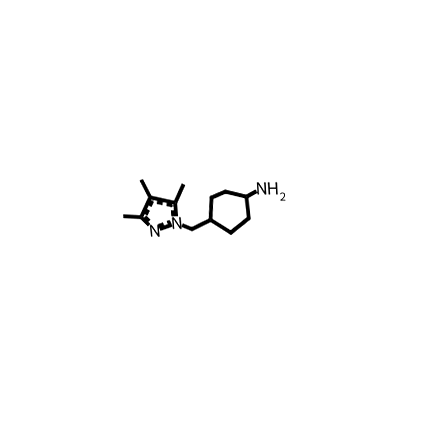 Cc1nn(CC2CCC(N)CC2)c(C)c1C